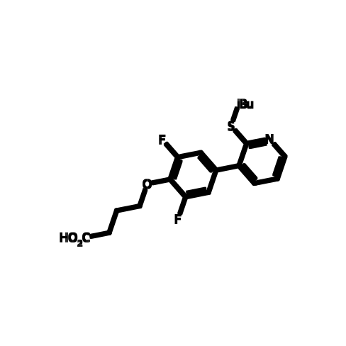 CCC(C)Sc1ncccc1-c1cc(F)c(OCCCC(=O)O)c(F)c1